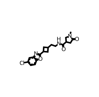 CN1CC(C(=O)NCCC2CC(c3nc4cc(Cl)ccc4o3)C2)CC1=O